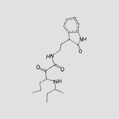 CCCC(NC(C)CC)C(=O)C(=O)NCCC1C(=O)Nc2ccccc21